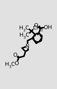 COC(=O)CC1CN(Cc2cccc(C(=O)O)c2C(C)(C)C)C1